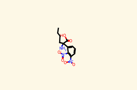 CCCCC(N)(C(=O)O)c1cccc([N+](=O)[O-])c1[N+](=O)[O-]